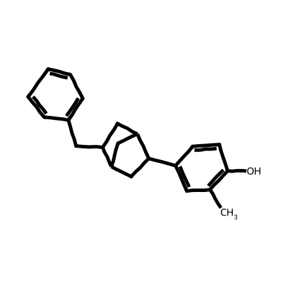 Cc1cc(C2CC3CC2CC3Cc2ccccc2)ccc1O